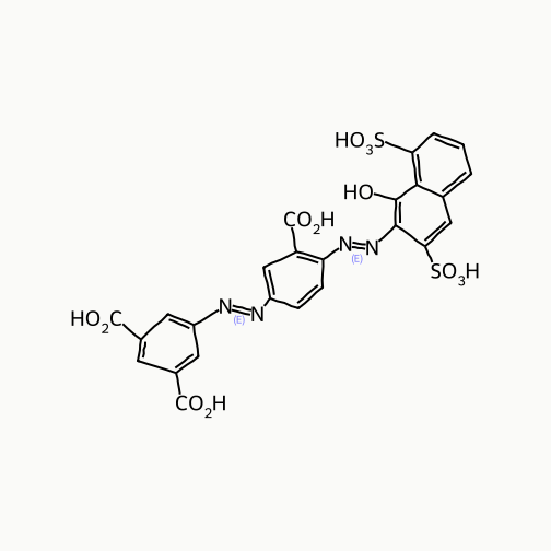 O=C(O)c1cc(/N=N/c2ccc(/N=N/c3c(S(=O)(=O)O)cc4cccc(S(=O)(=O)O)c4c3O)c(C(=O)O)c2)cc(C(=O)O)c1